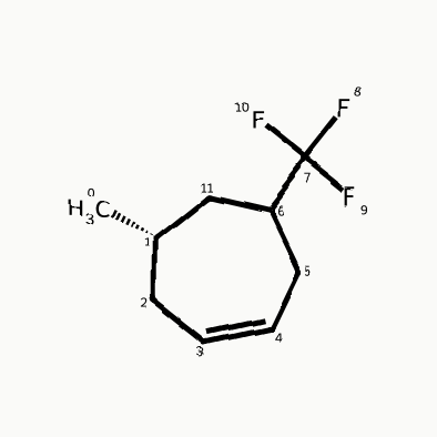 C[C@H]1CC=CCC(C(F)(F)F)C1